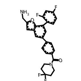 NCc1cc2cc(-c3ccc(C(=O)N4CCC(F)(F)CC4)cc3)cc(-c3ccc(F)cc3F)c2o1